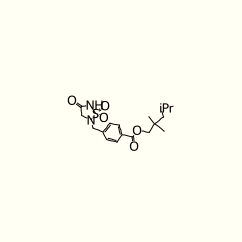 CC(C)CC(C)(C)COC(=O)c1ccc(CN2CC(=O)NS2(=O)=O)cc1